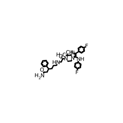 CC1(C)c2nc(-c3ccc(F)cc3)c(Nc3ccc(F)cc3)n2CCN1C(=O)CNCCCC(CC(N)=O)c1ccccc1